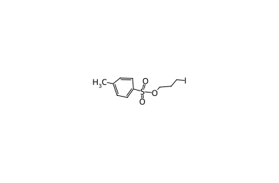 Cc1ccc(S(=O)(=O)OCCCI)cc1